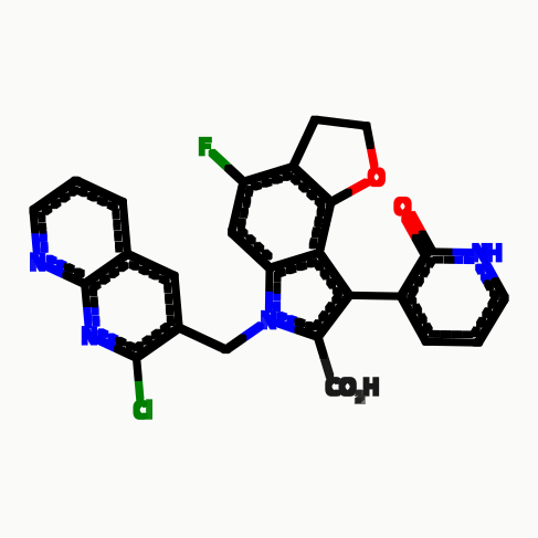 O=C(O)c1c(-c2ccc[nH]c2=O)c2c3c(c(F)cc2n1Cc1cc2cccnc2nc1Cl)CCO3